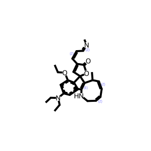 CCOc1cc(N(CC)CC)ccc1C1(/C2=C(\C)NC/C=C\C=C/C2C)C=C(/C=C\C=N/C)C(=O)O1